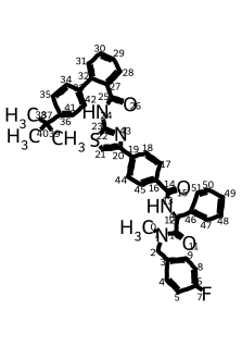 CN(Cc1ccc(F)cc1)C(=O)[C@@H](NC(=O)c1ccc(-c2csc(NC(=O)c3ccccc3-c3ccc(C(C)(C)C)cc3)n2)cc1)c1ccccc1